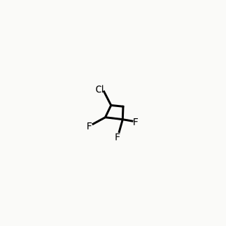 FC1C(Cl)CC1(F)F